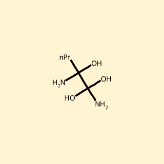 CCCC(N)(O)C(N)(O)O